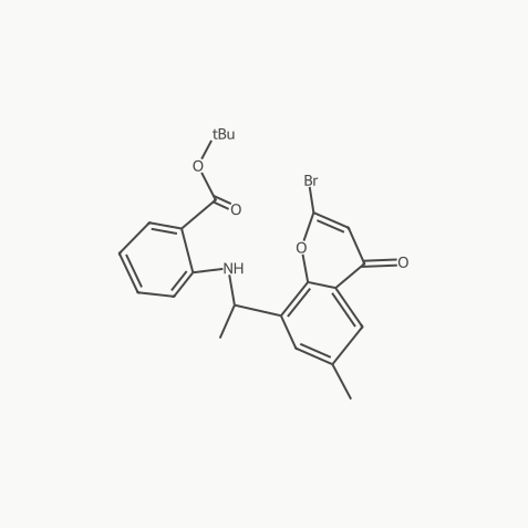 Cc1cc(C(C)Nc2ccccc2C(=O)OC(C)(C)C)c2oc(Br)cc(=O)c2c1